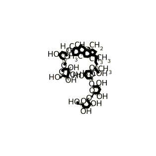 C=C[C@@]12CCC([C@H](C)CC[C@@H](O[C@H]3C[C@@H](O)C[C@@H](CO[C@H]4O[C@H](CO[C@H]5O[C@H](CO)[C@@H](O)C[C@H]5O)[C@@H](O)C[C@H]4O)O3)C(C)(C)O)[C@@]1(C)CC[C@@]1(C)C3CC[C@H](O[C@H]4C[C@@H](O)C[C@@H](CO[C@H]5O[C@H](CO)[C@@H](O)[C@H](O)[C@H]5O)O4)C(C)(C)C3=CCC12